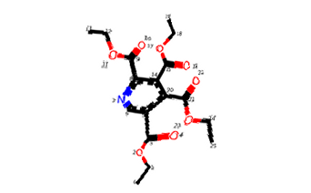 CCOC(=O)c1cnc(C(=O)OCC)c(C(=O)OCC)c1C(=O)OCC